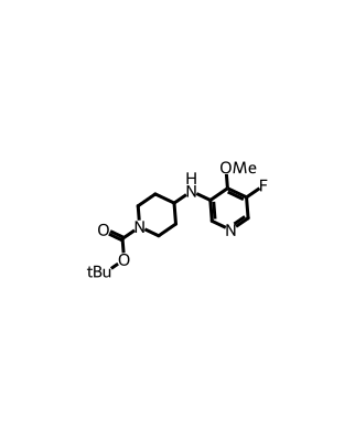 COc1c(F)cncc1NC1CCN(C(=O)OC(C)(C)C)CC1